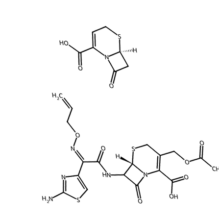 C=CCO/N=C(\C(=O)NC1C(=O)N2C(C(=O)O)=C(COC(C)=O)CS[C@@H]12)c1csc(N)n1.O=C(O)C1=CCS[C@H]2CC(=O)N12